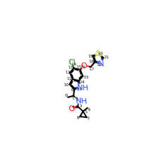 CC(NC(=O)C1(C)CC1)c1cc2cc(Cl)c(OCc3cscn3)cc2[nH]1